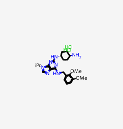 COc1cccc(CNc2nc(N[C@H]3CC[C@H](N)CC3)nc3c2ncn3C(C)C)c1OC.Cl.Cl